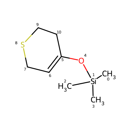 C[Si](C)(C)OC1=CCSCC1